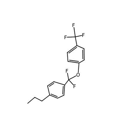 CCCc1ccc(C(F)(F)Oc2ccc(C(F)(F)F)cc2)cc1